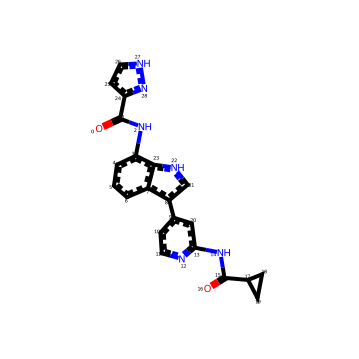 O=C(Nc1cccc2c(-c3ccnc(NC(=O)C4CC4)c3)c[nH]c12)c1cc[nH]n1